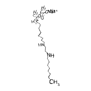 CC(=O)[O-].CC(=O)[O-].CCCCCCCCNCCNCCCCCCCC.[Na+].[Na+]